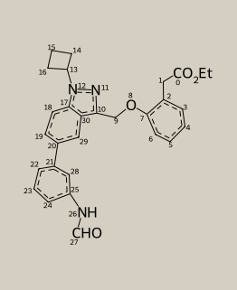 CCOC(=O)Cc1ccccc1OCc1nn(C2CCC2)c2ccc(-c3cccc(NC=O)c3)cc12